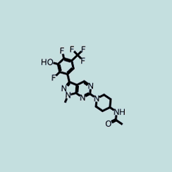 CC(=O)NC1CCN(c2ncc3c(-c4cc(C(F)(F)F)c(F)c(O)c4F)nn(C)c3n2)CC1